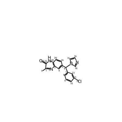 Cc1nc2cc(C(c3cccc(Cl)c3)n3ccnc3)ccc2[nH]c1=O